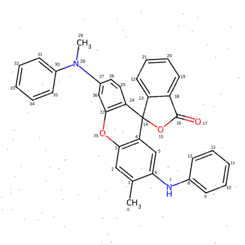 Cc1cc2c(cc1Nc1ccccc1)C1(OC(=O)c3ccccc31)c1ccc(N(C)c3ccccc3)cc1O2